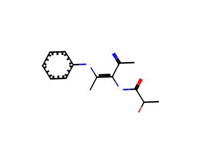 CC(=N)/C(NC(=O)C(C)O)=C(/C)Nc1ccccc1